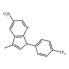 Cc1cn(-c2ccc(C(F)(F)F)cc2)c2ncc([N+](=O)[O-])cc12